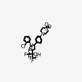 O=S1(=O)CCN(c2ccc(C3CC(C(O)(C(F)(F)F)C(F)(F)F)=NN3c3ccccc3Cl)cc2)CC1